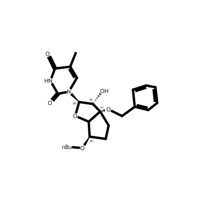 CCCCO[C@@H]1CC[C@@]2(OCc3ccccc3)C1O[C@@H](n1cc(C)c(=O)[nH]c1=O)[C@@H]2O